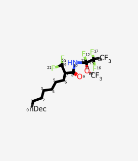 CCCCCCCCCCCCCCCCC(C(=O)NC(F)(OC(F)(F)F)C(F)(F)C(F)(F)F)C(F)F